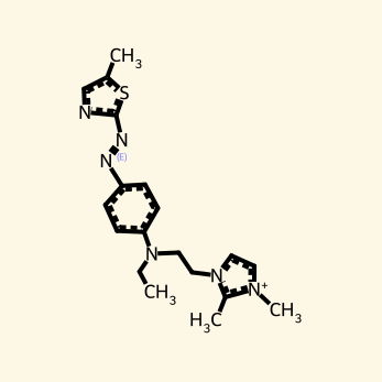 CCN(CCn1cc[n+](C)c1C)c1ccc(/N=N/c2ncc(C)s2)cc1